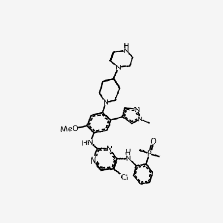 COc1cc(N2CCC(N3CCNCC3)CC2)c(-c2cnn(C)c2)cc1Nc1ncc(Cl)c(Nc2ccccc2P(C)(C)=O)n1